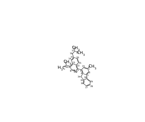 Cc1cc2c(c(-c3ncc(C(C)C)c4cc(CC(C)C)ccc34)c1)Cc1ccccc1-2